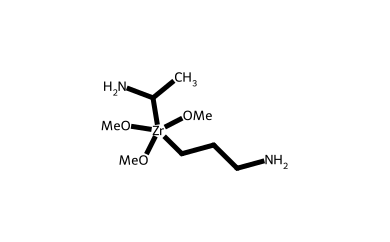 C[O][Zr]([CH2]CCN)([O]C)([O]C)[CH](C)N